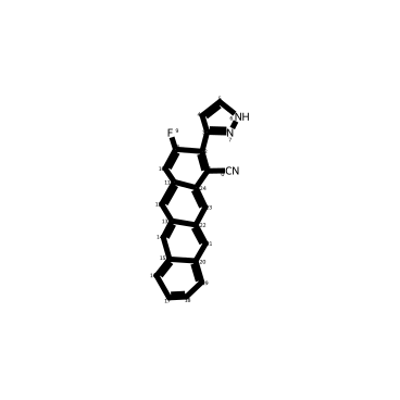 N#Cc1c(-c2cc[nH]n2)c(F)cc2cc3cc4ccccc4cc3cc12